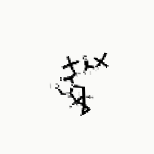 CC(C)(C)OC(=O)N[C@H](C(=O)N1C[C@H]2[C@@H]([C@H]1CO)C21CC1)C(C)(C)C